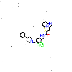 Cl.Cl.O=C(NCc1ccc(CN2CCC(c3ccccc3)CC2)cc1)C1=Cc2cnc3cccc(n23)S1